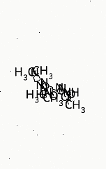 CCCS(=O)(=O)Nc1ccc(-c2cc3cnc(NC4CCC(N(C)C)CC4)nc3n(C(C)C)c2=O)nn1